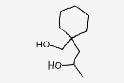 CC(O)CC1(CO)CCCCC1